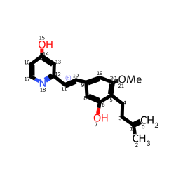 C=C(C)CCc1c(O)cc(/C=C/c2cc(O)ccn2)cc1OC